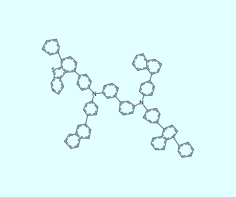 c1ccc(-c2ccc(-c3ccc(N(c4ccc(-c5cccc6ccccc56)cc4)c4cccc(-c5cccc(N(c6ccc(-c7ccc8ccccc8c7)cc6)c6ccc(-c7ccc(-c8ccccc8)c8sc9ccccc9c78)cc6)c5)c4)cc3)c3ccccc23)cc1